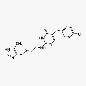 Cc1[nH]cnc1CSCCNc1ncc(Cc2ccc(Cl)cc2)c(=O)[nH]1